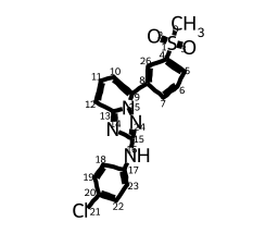 CS(=O)(=O)c1cccc(-c2cccc3nc(Nc4ccc(Cl)cc4)nn23)c1